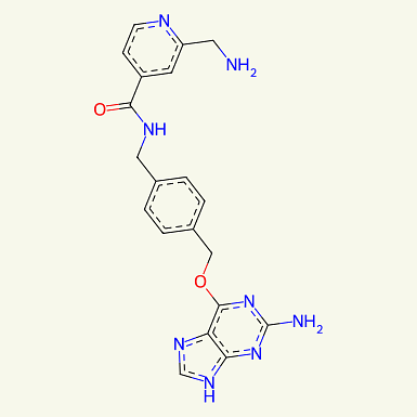 NCc1cc(C(=O)NCc2ccc(COc3nc(N)nc4[nH]cnc34)cc2)ccn1